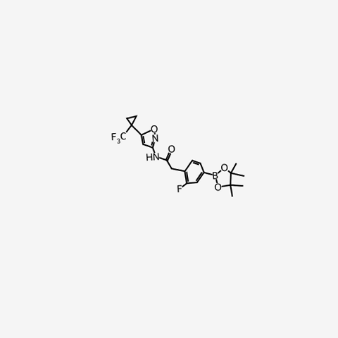 CC1(C)OB(c2ccc(CC(=O)Nc3cc(C4(C(F)(F)F)CC4)on3)c(F)c2)OC1(C)C